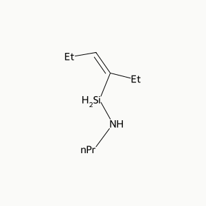 CCC=C(CC)[SiH2]NCCC